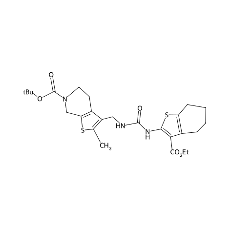 CCOC(=O)c1c(NC(=O)NCc2c(C)sc3c2CCN(C(=O)OC(C)(C)C)C3)sc2c1CCCC2